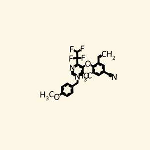 C=Cc1cc(C#N)cc(C)c1Oc1c(C(F)(F)C(F)F)ncn(Cc2ccc(OC)cc2)c1=O